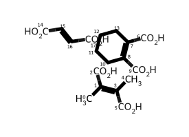 CC(C(=O)O)=C(C)C(=O)O.O=C(O)C1=C(C(=O)O)CCCC1.O=C(O)C=CC(=O)O